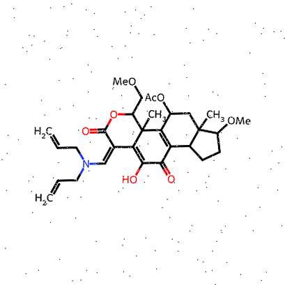 C=CCN(C=C1C(=O)OC(COC)C2(C)C1=C(O)C(=O)C1=C2C(OC(C)=O)CC2(C)C(OC)CCC12)CC=C